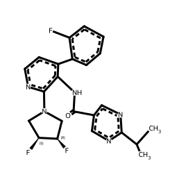 CC(C)c1ncc(C(=O)Nc2c(-c3ccccc3F)ccnc2N2C[C@@H](F)[C@@H](F)C2)cn1